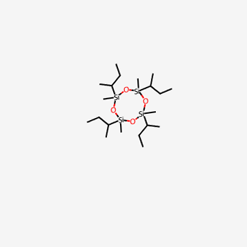 CCC(C)[Si]1(C)O[Si](C)(C(C)CC)O[Si](C)(C(C)CC)O[Si](C)(C(C)CC)O1